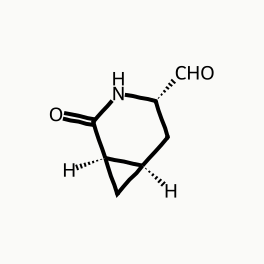 O=C[C@@H]1C[C@H]2C[C@H]2C(=O)N1